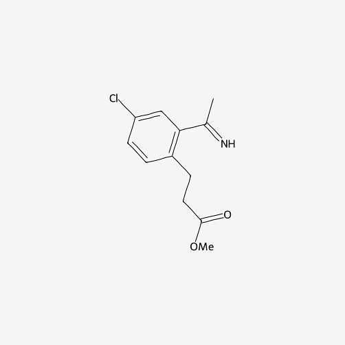 COC(=O)CCc1ccc(Cl)cc1C(C)=N